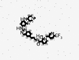 CN1CCC(Nc2ccc(Nc3ncc4cc(/C=C/CNC(=O)c5cccn(Cc6ccc(C(F)(F)F)nc6)c5=O)ccc4n3)cc2F)CC1